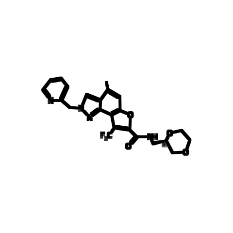 Cc1cc2oc(C(=O)NC[C@@H]3COCCO3)c(C(F)(F)F)c2c2nn(Cc3ccccn3)cc12